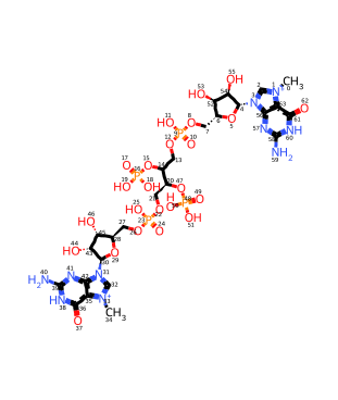 C[n+]1cn([C@@H]2O[C@H](COP(=O)(O)OCC(OP(=O)(O)O)[C@H](COP(=O)(O)OC[C@H]3O[C@@H](n4c[n+](C)c5c(=O)[nH]c(N)nc54)[C@H](O)[C@@H]3O)OP(=O)(O)O)[C@@H](O)[C@H]2O)c2nc(N)[nH]c(=O)c21